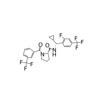 O=C(N[C@@H](c1ccc(C(F)(F)F)cc1F)C1CC1)[C@H]1CCCN1C(=O)c1cccc(C(F)(F)F)c1